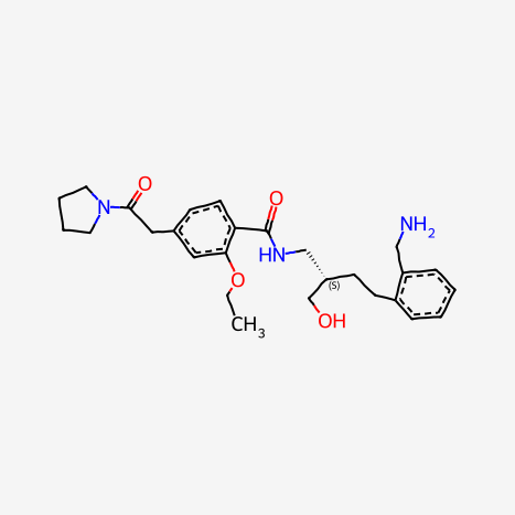 CCOc1cc(CC(=O)N2CCCC2)ccc1C(=O)NC[C@@H](CO)CCc1ccccc1CN